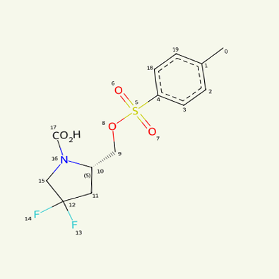 Cc1ccc(S(=O)(=O)OC[C@@H]2CC(F)(F)CN2C(=O)O)cc1